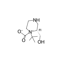 CC(C)(C)[N+]1(C(=O)[O-])CCNC[C@@H]1CO